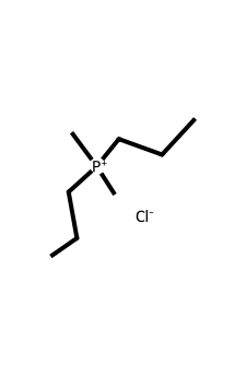 CCC[P+](C)(C)CCC.[Cl-]